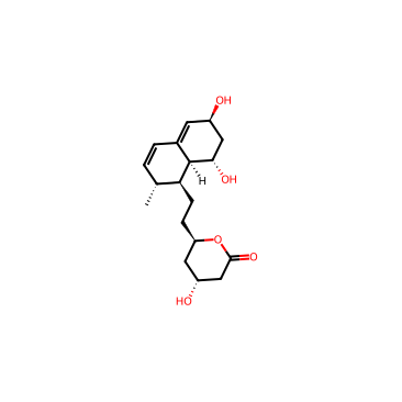 C[C@@H]1C=CC2=C[C@@H](O)C[C@H](O)[C@H]2[C@H]1CC[C@@H]1C[C@@H](O)CC(=O)O1